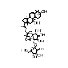 C[C@H](CC[C@@H](O[C@@H]1O[C@H](CO[C@@H]2O[C@H](CO)[C@@H](O)[C@H](O)[C@H]2O)[C@@H](O)[C@H](O)[C@H]1O)C(C)(C)O)C1CC[C@@]2(C)C3CC=C4C(CC[C@H](O)C4(C)C)C3(C)[C@H](O)C[C@]12C